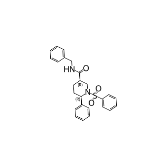 O=C(NCc1ccccc1)[C@@H]1CC[C@H](c2ccccc2)N(S(=O)(=O)c2ccccc2)C1